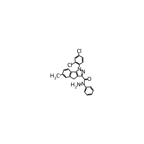 Cc1ccc2c(c1)Cc1c(C(=O)N(N)c3ccccc3)nn(-c3ccc(Cl)cc3Cl)c1-2